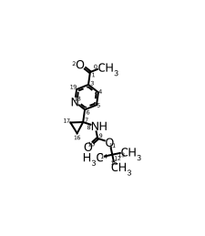 CC(=O)c1ccc(C2(NC(=O)OC(C)(C)C)CC2)nc1